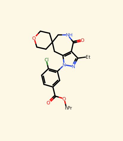 CCCOC(=O)c1ccc(Cl)c(-n2nc(CC)c3c2CC2(CCOCC2)CNC3=O)c1